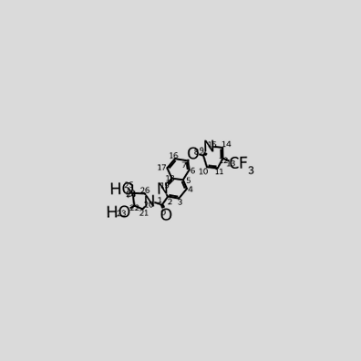 O=C(c1ccc2cc(Oc3ccc(C(F)(F)F)cn3)ccc2n1)N1CC(O)[C@@H](O)C1